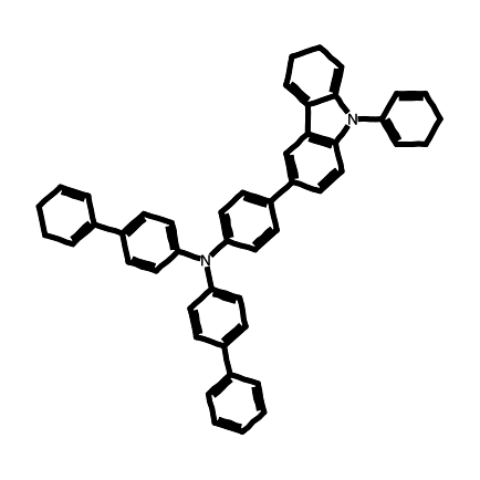 C1=CC(c2ccc(N(c3ccc(-c4ccccc4)cc3)c3ccc(-c4ccc5c(c4)c4c(n5C5=CCCC=C5)=CCCC=4)cc3)cc2)=CCC1